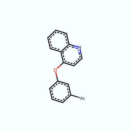 CC(=O)c1cccc(Oc2ccnc3ccccc23)c1